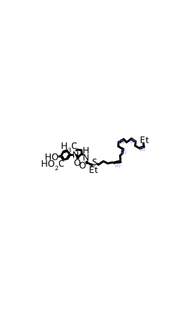 CC/C=C\C/C=C\C/C=C\C/C=C\C/C=C\CCCCS[C@@H](CC)C(=O)NC1CC(C)N(c2ccc(O)c(C(=O)O)c2)C1=O